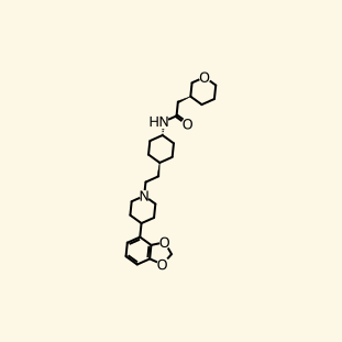 O=C(C[C@@H]1CCCOC1)N[C@H]1CC[C@H](CCN2CCC(c3cccc4c3OCO4)CC2)CC1